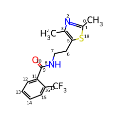 Cc1nc(C)c(CCNC(=O)c2ccccc2C(F)(F)F)s1